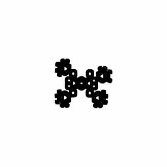 CC1CC(OC(=O)c2cc(C(=O)OC3CC(C)(C)N(C)C(C)(C)C3)c(C(=O)OC3CC(C)(C)N(C)C(C)(C)C3)cc2C(=O)OC2CC(C)(C)N(C)C(C)(C)C2)CC(C)(C)N1C